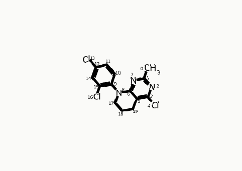 Cc1nc(Cl)c2c(n1)N(c1ccc(Cl)cc1Cl)CCC2